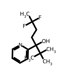 CC(F)(F)CCC(O)(c1ccccn1)C(C)(C)C